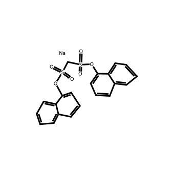 O=S(=O)(CS(=O)(=O)Oc1cccc2ccccc12)Oc1cccc2ccccc12.[Na]